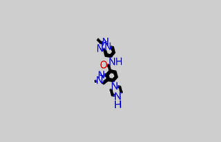 Cc1nc2cc(NC(=O)c3ccc(N4CCNCC4)c4cn(C)nc34)ccn2n1